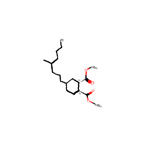 CCCCOC(=O)[C@H]1CCC(CCCC(C)CCCC(C)C)C[C@@H]1C(=O)OCCCC